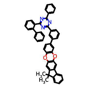 CC1(C)c2ccccc2-c2cc3c(cc21)Oc1ccc(-c2cccc(-c4nc(-c5ccccc5)nc(-c5ccccc5-c5ccccc5)n4)c2)cc1O3